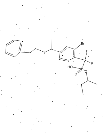 CCC(C)OP(=O)(O)C(F)(F)c1ccc(C(C)SCCc2ccccc2)cc1Br